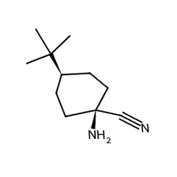 CC(C)(C)[C@H]1CC[C@](N)(C#N)CC1